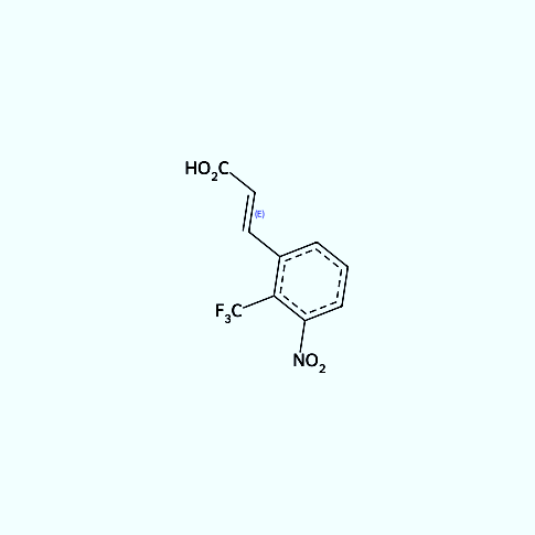 O=C(O)/C=C/c1cccc([N+](=O)[O-])c1C(F)(F)F